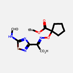 CC(C)(C)OC(=O)C1(ON=C(C(=O)O)c2nsc(NC=O)n2)CCCC1